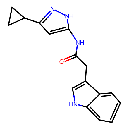 O=C(Cc1c[nH]c2ccccc12)Nc1cc(C2CC2)n[nH]1